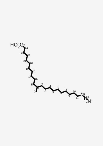 CC(CCCCCCCCCCN=[N+]=[N-])CCCCCCCCCCC(=O)O